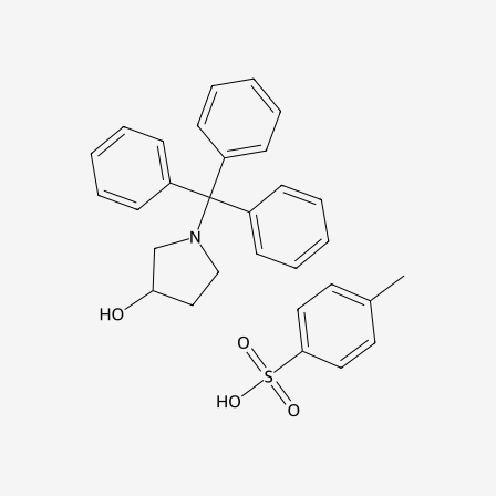 Cc1ccc(S(=O)(=O)O)cc1.OC1CCN(C(c2ccccc2)(c2ccccc2)c2ccccc2)C1